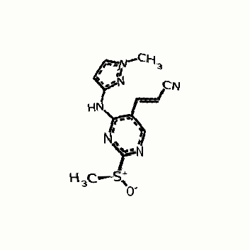 Cn1ccc(Nc2nc([S@+](C)[O-])ncc2/C=C/C#N)n1